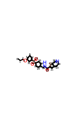 CCCOc1cccc(S(=O)(=O)c2ccc(CNC(=O)c3cc4ccncc4s3)cc2)c1